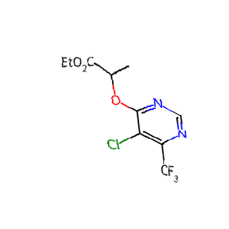 CCOC(=O)C(C)Oc1ncnc(C(F)(F)F)c1Cl